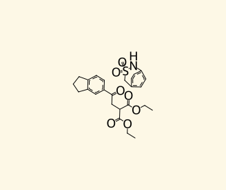 CCOC(=O)C(CC(=O)c1ccc2c(c1)CCC2)C(=O)OCC.O=S1(=O)Cc2ccc(cc2)N1